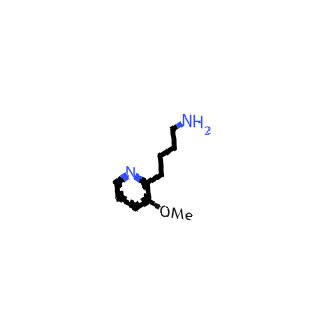 COc1cccnc1CCCCN